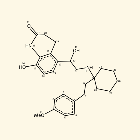 COc1ccc(CCC2(NCC(O)c3ccc(O)c4c3CCC(=O)N4)CCCCC2)cc1